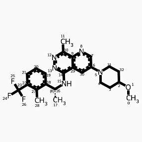 COC1CCN(c2cnc3c(C)nnc(N[C@H](C)c4cccc(C(F)(F)F)c4C)c3c2)CC1